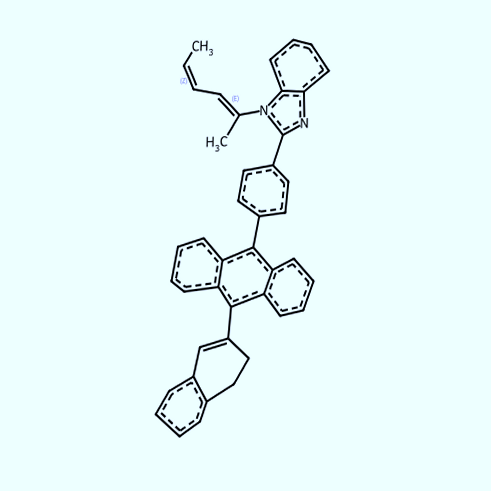 C/C=C\C=C(/C)n1c(-c2ccc(-c3c4ccccc4c(C4=Cc5ccccc5CC4)c4ccccc34)cc2)nc2ccccc21